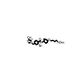 CCCCCCCCCCCCCCOc1ccc(NC(=O)c2ccc(C[n+]3csc(C)c3)cc2)cc1.[Br-]